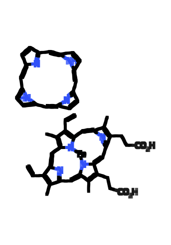 C1=Cc2cc3ccc(cc4nc(cc5ccc(cc1n2)[nH]5)C=C4)[nH]3.C=CC1=C(C)C2=NC/1=C\c1c(C)c(C=C)c3[n]1[Fe][n]1/c(c(C)c(CCC(=O)O)/c1=C/C1=NC(=C\3)/C(C)=C1CCC(=O)O)=C\2